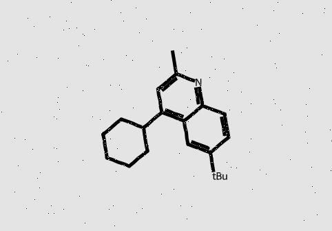 Cc1cc(C2CCCCC2)c2cc(C(C)(C)C)ccc2n1